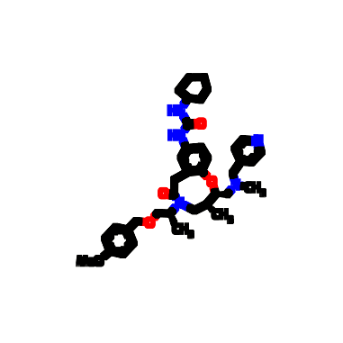 COc1ccc(COC[C@H](C)N2C[C@@H](C)[C@H](CN(C)Cc3ccncc3)Oc3ccc(NC(=O)NC4CCCCC4)cc3CC2=O)cc1